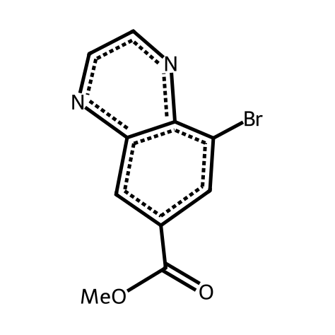 COC(=O)c1cc(Br)c2nccnc2c1